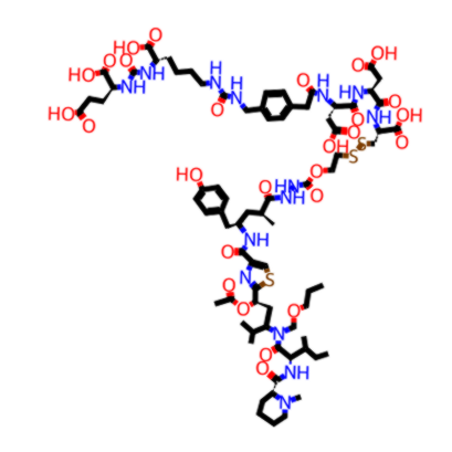 CCCOCN(C(=O)[C@@H](NC(=O)[C@H]1CCCCN1C)C(C)CC)C(C[C@@H](OC(C)=O)c1nc(C(=O)N[C@@H](Cc2ccc(O)cc2)C[C@H](C)C(=O)NNC(=O)OCCSSC[C@H](NC(=O)[C@H](CC(=O)O)NC(=O)[C@H](CC(=O)O)NC(=O)Cc2ccc(CNC(=O)NCCCC[C@H](NC(=O)N[C@@H](CCC(=O)O)C(=O)O)C(=O)O)cc2)C(=O)O)cs1)C(C)C